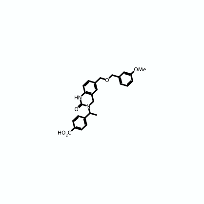 COc1cccc(COCc2ccc3c(c2)CN(C(C)c2ccc(C(=O)O)cc2)C(=O)N3)c1